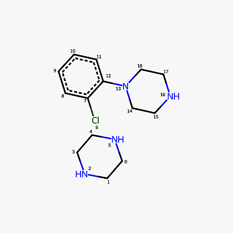 C1CNCCN1.Clc1ccccc1N1CCNCC1